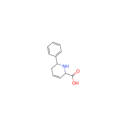 O=C(O)C1C=CCC(c2ccccc2)N1